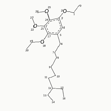 CCOc1cc(CCCCCCC(CC)CC)c(OCC)c(OC)c1OC